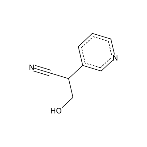 N#CC(CO)c1cccnc1